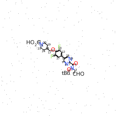 CC(C)(C)ON(CC=O)C(=O)c1ncc(-c2cc(F)c(OCC3CCN(C(=O)O)CC3)c(F)c2)cn1